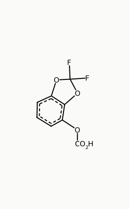 O=C(O)Oc1cccc2c1OC(F)(F)O2